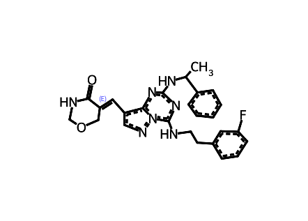 CC(Nc1nc(NCCc2cccc(F)c2)n2ncc(/C=C3\COCNC3=O)c2n1)c1ccccc1